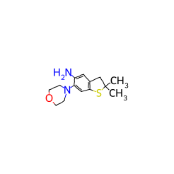 CC1(C)Cc2cc(N)c(N3CCOCC3)cc2S1